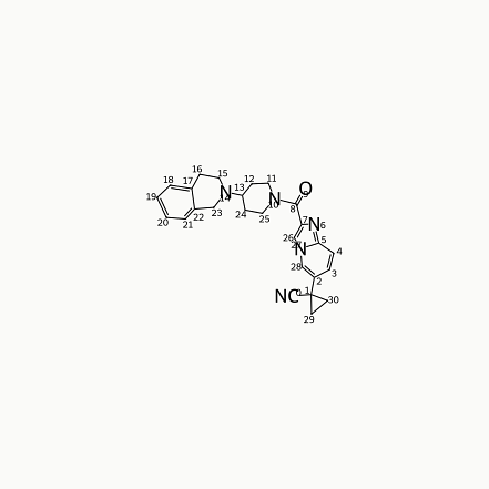 N#CC1(c2ccc3nc(C(=O)N4CCC(N5CCc6ccccc6C5)CC4)cn3c2)CC1